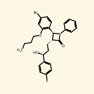 CCCCOc1cc(Br)ccc1[C@@H]1[C@@H](CC[C@H](O)c2ccc(F)cc2)C(=O)N1c1ccccc1